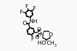 CC1(O)COCCN(S(=O)(=O)c2cc(C(=O)Nc3cc(F)c(F)c(F)c3)ccc2F)C1